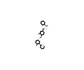 Cc1ccc(NC(=O)c2ccc(C(=O)NC(C)c3ccccc3)cc2Cl)cc1-c1ccccn1